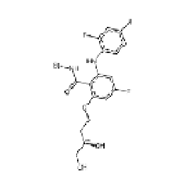 CCNC(=O)c1c(Nc2ccc(I)cc2F)cc(F)cc1OCC[C@@H](O)CO